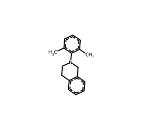 Cc1cccc(C)c1N1CCc2ccccc2C1